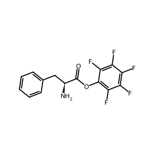 N[C@@H](Cc1ccccc1)C(=O)Oc1c(F)c(F)c(F)c(F)c1F